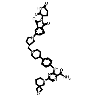 NC(=O)c1ncc(N2CCCC3(COC3)C2)nc1Nc1ccc(C2CCN(C[C@H]3CCN(c4ccc5c(c4)C(=O)N(C4CCC(=O)NC4=O)C5=O)C3)CC2)cc1